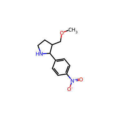 COCC1CCNC1c1ccc([N+](=O)[O-])cc1